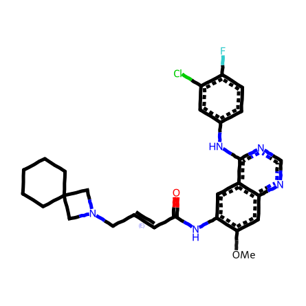 COc1cc2ncnc(Nc3ccc(F)c(Cl)c3)c2cc1NC(=O)/C=C/CN1CC2(CCCCC2)C1